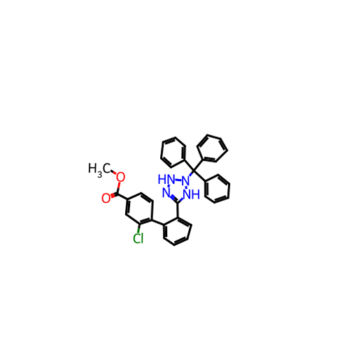 COC(=O)c1ccc(-c2ccccc2C2=NNN(C(c3ccccc3)(c3ccccc3)c3ccccc3)N2)c(Cl)c1